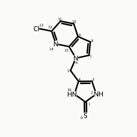 S=c1[nH]cc(Cn2ccc3ccc(Cl)nc32)[nH]1